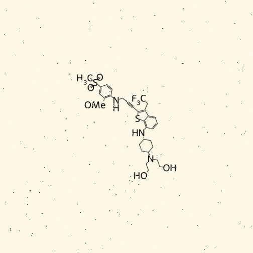 COc1cc(S(C)(=O)=O)ccc1NCC#Cc1sc2c(N[C@H]3CC[C@H](N(CCO)CCO)CC3)cccc2c1CC(F)(F)F